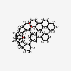 c1ccc(-c2cc3ccccc3c3ccc4ccccc4c23)c(-c2nc(-c3cccc4oc5ccccc5c34)nc(-c3cccc4oc5ccccc5c34)n2)c1